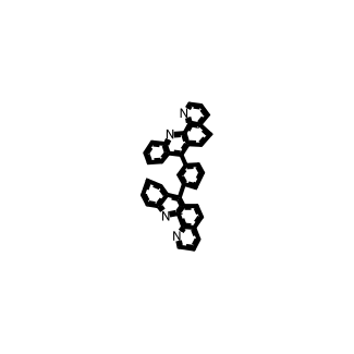 c1cc(-c2c3ccccc3nc3c2ccc2cccnc23)cc(-c2c3ccccc3nc3c2ccc2cccnc23)c1